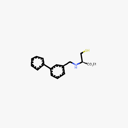 CCOC(=O)[C@H](CS)NCc1cccc(-c2ccccc2)c1